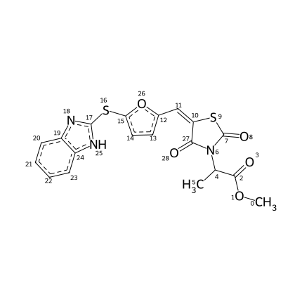 COC(=O)C(C)N1C(=O)SC(=Cc2ccc(Sc3nc4ccccc4[nH]3)o2)C1=O